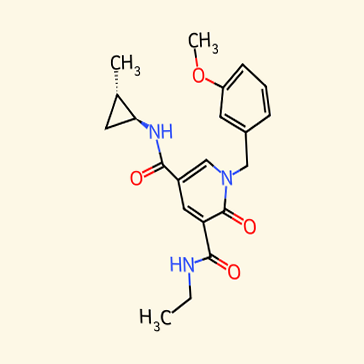 CCNC(=O)c1cc(C(=O)N[C@H]2C[C@@H]2C)cn(Cc2cccc(OC)c2)c1=O